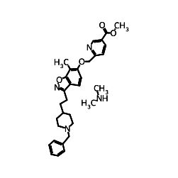 CNC.COC(=O)c1ccc(COc2ccc3c(CCC4CCN(Cc5ccccc5)CC4)noc3c2C)nc1